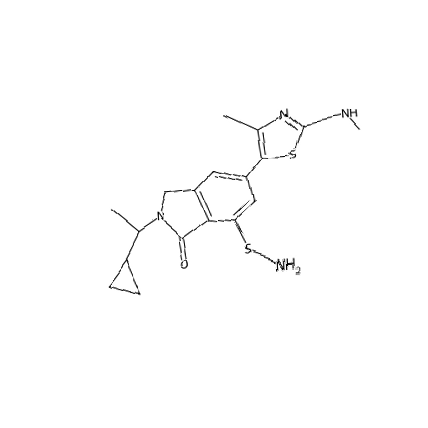 CNc1nc(C)c(-c2cc3c(c(SN)c2)C(=O)N(C(C)C2CC2)C3)s1